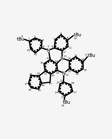 CC(C)(C)c1ccc(N2c3ccc(C(C)(C)C)cc3B3c4cc(C(C)(C)C)ccc4N(c4ccc(C(C)(C)C)cc4)c4c5c(cc2c43)-c2ccccc2C5)cc1